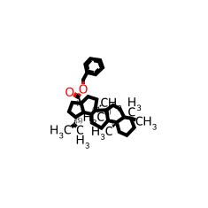 CC(C)[C@@H]1CC[C@]2(C(=O)OCc3ccccc3)CC[C@]3(C)C(CCC4[C@@]5(C)CCCC(C)(C)C5CC[C@]43C)C12